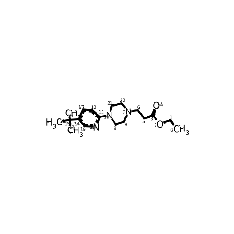 CCOC(=O)CCN1CCN(c2ccc(C(C)(C)C)cn2)CC1